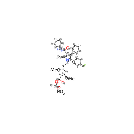 CO[C@H](CCn1c(-c2ccc(F)cc2)c(-c2ccccc2)c(C(=O)Nc2ccccc2)c1C(C)C)C[C@H](CC(=O)OC(C)O[N+](=O)[O-])OC